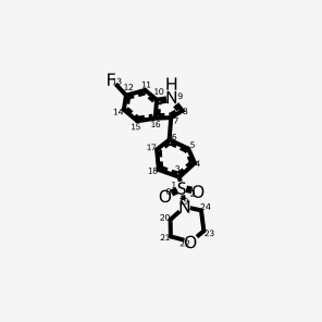 O=S(=O)(c1ccc(-c2c[nH]c3cc(F)ccc23)cc1)N1CCOCC1